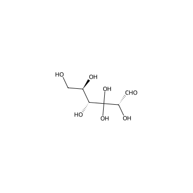 O=C[C@H](O)C(O)(O)[C@H](O)[C@H](O)CO